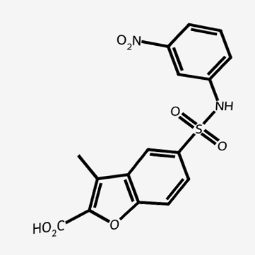 Cc1c(C(=O)O)oc2ccc(S(=O)(=O)Nc3cccc([N+](=O)[O-])c3)cc12